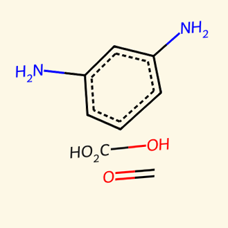 C=O.Nc1cccc(N)c1.O=C(O)O